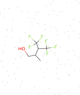 CC(CO)C(C(F)(F)F)C(F)(F)F